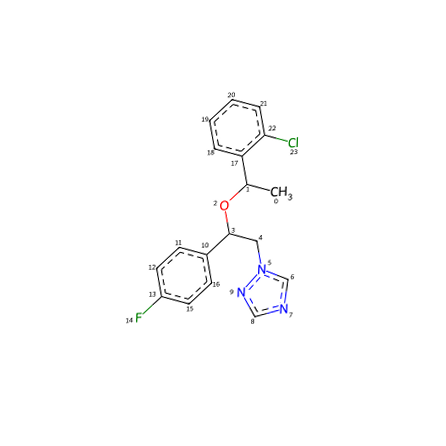 CC(OC(Cn1cncn1)c1ccc(F)cc1)c1ccccc1Cl